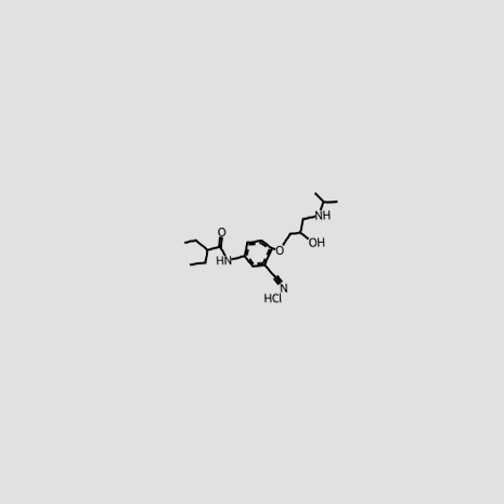 CCC(CC)C(=O)Nc1ccc(OCC(O)CNC(C)C)c(C#N)c1.Cl